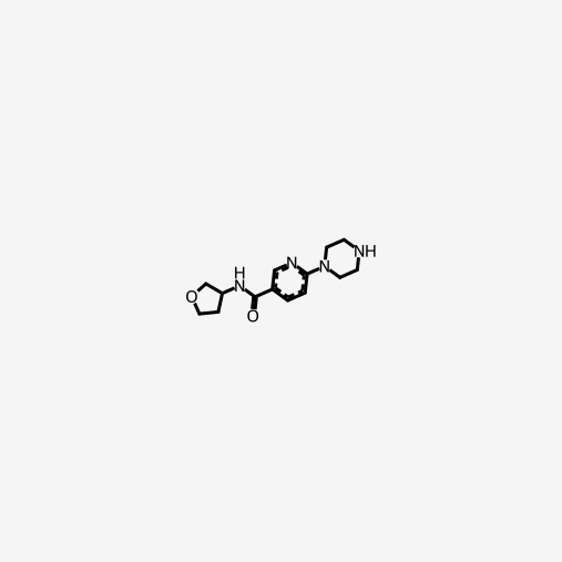 O=C(NC1CCOC1)c1ccc(N2CCNCC2)nc1